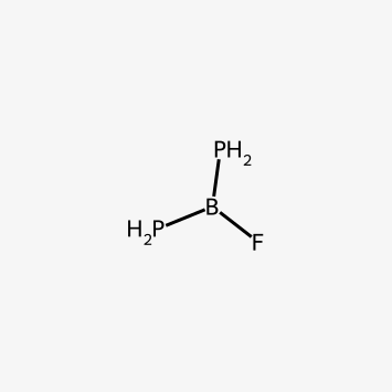 FB(P)P